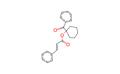 O=C(C=Cc1ccccc1)OC1(C(=O)c2ccccc2)CCCCC1